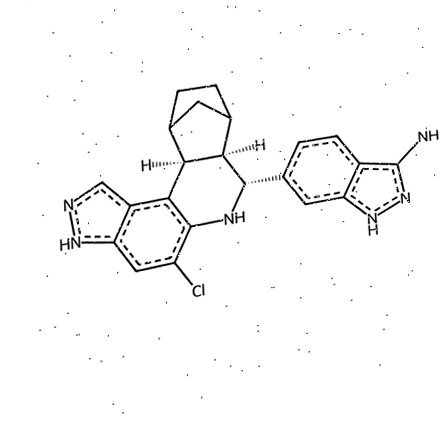 Nc1n[nH]c2cc([C@@H]3Nc4c(Cl)cc5[nH]ncc5c4[C@H]4C5CCC(C5)[C@@H]34)ccc12